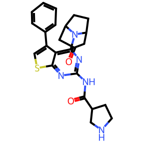 O=C1CC2CCC(C1)N2c1nc(NC(=O)C2CCNC2)nc2scc(-c3ccccc3)c12